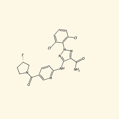 NC(=O)c1nn(-c2c(Cl)cccc2Cl)nc1Nc1ccc(C(=O)N2CC[C@H](F)C2)cn1